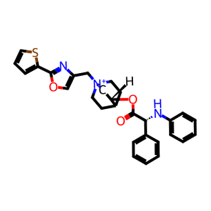 O=C(O[C@H]1C[N+]2(Cc3coc(-c4cccs4)n3)CCC1CC2)[C@H](Nc1ccccc1)c1ccccc1